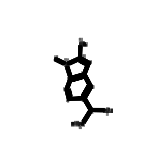 CCCCCCC(CCCC)c1ccc2c(c1)cc(C(C)CC)n2C